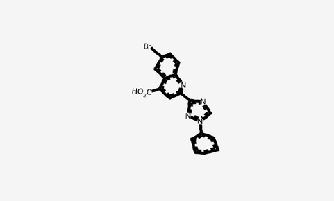 O=C(O)c1cc(-c2ncn(-c3ccccc3)n2)nc2ccc(Br)cc12